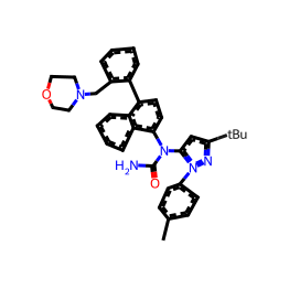 Cc1ccc(-n2nc(C(C)(C)C)cc2N(C(N)=O)c2ccc(-c3ccccc3CN3CCOCC3)c3ccccc23)cc1